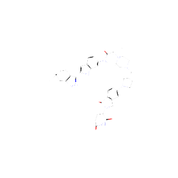 C[C@@H](C(=O)N(C)c1ccc2cc(-c3n[nH]c4c3CCC(C)(C)C4)[nH]c2c1)N1CCN(C[C@H]2CCN(c3ccc4c(c3)CN(C3CCC(=O)NC3=O)C4=O)C2)CC1